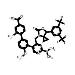 COc1ccc(-c2ccc(C(=O)O)cc2C)cc1-c1cnc(N(C)C)nc1CN1C(=O)OC(c2cc(C(F)(F)F)cc(C(F)(F)F)c2)C12CC2